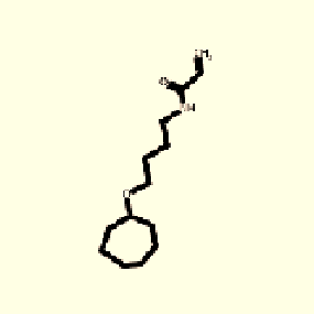 C=CC(=O)NCCCCOC1CCCCCC1